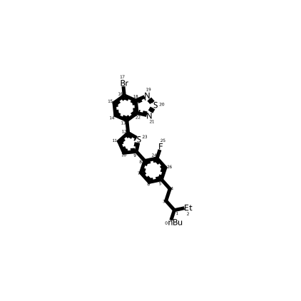 CCCCC(CC)CCc1ccc(-c2ccc(-c3ccc(Br)c4nsnc34)s2)c(F)c1